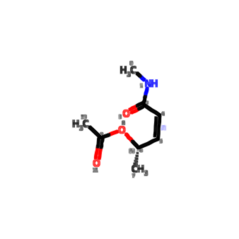 CNC(=O)/C=C\[C@H](C)OC(C)=O